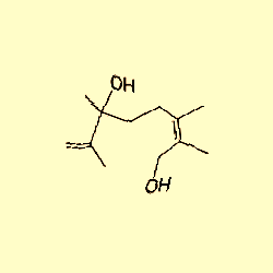 C=C(C)C(C)(O)CCC(C)=C(C)CO